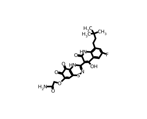 CC(C)(C)CCc1cc(F)cc2c(O)c(-c3nsc4cc(OCC(N)=O)c(=O)c(=O)c=4[nH]3)c(=O)[nH]c12